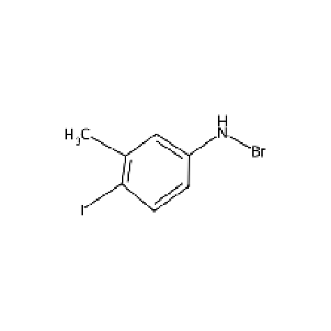 Cc1cc(NBr)ccc1I